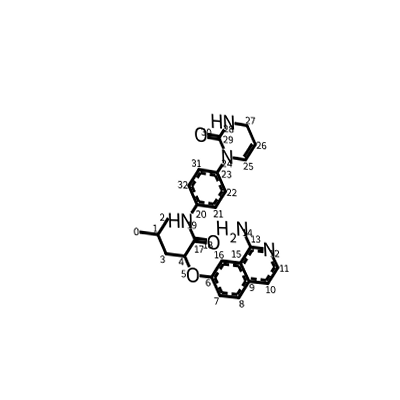 CC(C)CC(Oc1ccc2ccnc(N)c2c1)C(=O)Nc1ccc(N2C=CCNC2=O)cc1